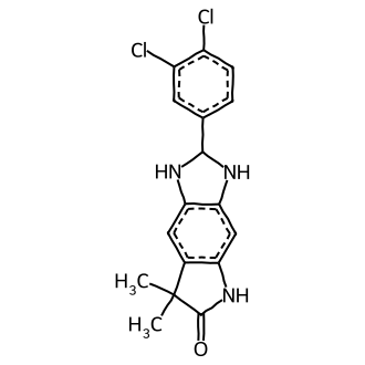 CC1(C)C(=O)Nc2cc3c(cc21)NC(c1ccc(Cl)c(Cl)c1)N3